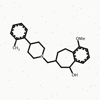 COc1cccc2c1CCC(CN1CCC(c3ccccc3C)CC1)CC2O